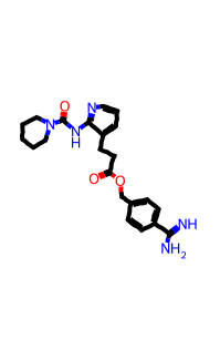 N=C(N)c1ccc(COC(=O)CCc2cccnc2NC(=O)N2CCCCC2)cc1